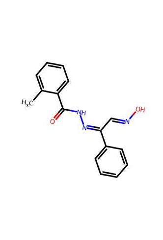 Cc1ccccc1C(=O)NN=C(C=NO)c1ccccc1